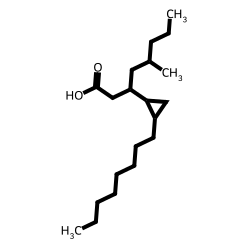 CCCCCCCCC1CC1C(CC(=O)O)CC(C)CCC